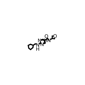 O=C(NC1COC1)c1cnc(NCC2CCCCC2)nc1